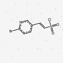 O=S(=O)(Cl)C=Cc1ccc(Br)nc1